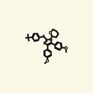 COc1ccc(-c2nc(Sc3ccc(C(C)(C)C)cc3)n(C3CCCCO3)c2-c2ccc(OC)cc2)cc1